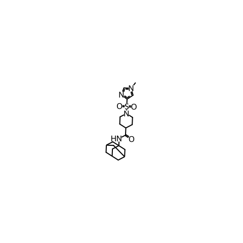 Cn1cnc(S(=O)(=O)N2CCC(C(=O)NC34CC5CC(CC(C5)C3)C4)CC2)c1